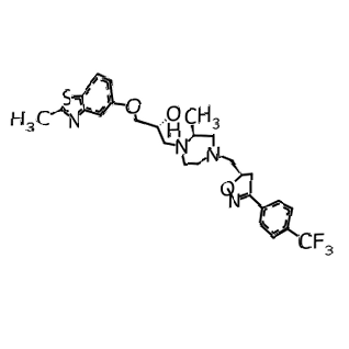 Cc1nc2cc(OC[C@H](O)CN3CCN(C[C@H]4CC(c5ccc(C(F)(F)F)cc5)=NO4)C[C@@H]3C)ccc2s1